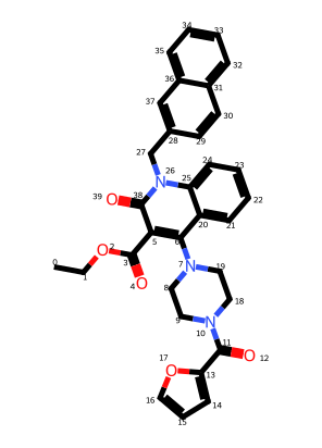 CCOC(=O)c1c(N2CCN(C(=O)c3ccco3)CC2)c2ccccc2n(Cc2ccc3ccccc3c2)c1=O